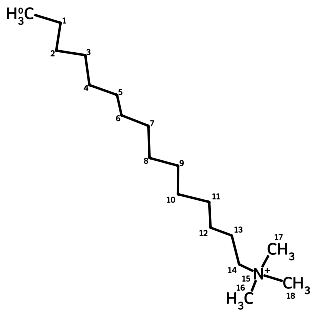 CCCCCCCCCCCCCCC[N+](C)(C)C